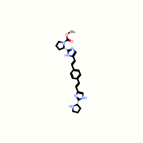 CC(C)(C)OC(=O)N1CCC[C@H]1c1ncc(/C=C/c2ccc(/C=C/c3c[nH]c([C@@H]4CCCN4)n3)cc2)[nH]1